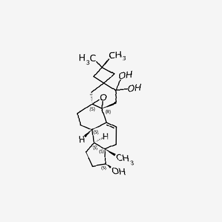 CC1(C)CC2(C1)C[C@@]13CC[C@@H]4C(=CC[C@]5(C)[C@@H](O)CC[C@@H]45)[C@@]1(CC2(O)O)O3